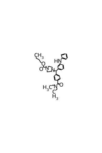 CCCCOC(=O)N1CCN(C(c2ccc(C(=O)N(CC)CC)cc2)c2cccc(Nc3ccccc3)c2)CC1